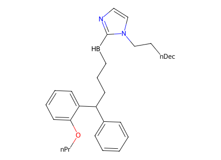 CCCCCCCCCCCCn1ccnc1BCCCC(c1ccccc1)c1ccccc1OCCC